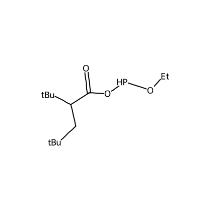 CCOPOC(=O)C(CC(C)(C)C)C(C)(C)C